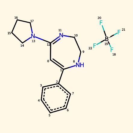 C1=C(c2ccccc2)NCCN=C1N1CCCC1.F[B-](F)(F)F